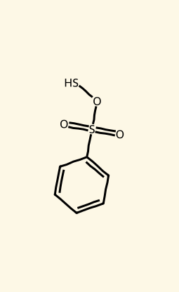 O=S(=O)(OS)c1ccccc1